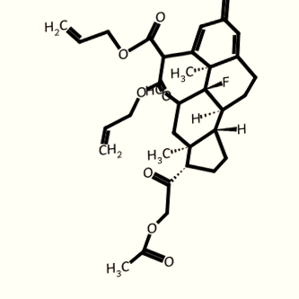 C=CCOC(=O)C(C(=O)OCC=C)C1=CC(=O)C=C2CC[C@H]3[C@@H]4CC[C@H](C(=O)COC(C)=O)[C@@]4(C)CC(O)[C@]3(F)[C@]21C